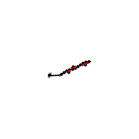 CCCC12CCCC(CCC)(CCC1)C21c2cc(-c3ccc(C)cc3)ccc2-c2ccc(-c3ccc(-c4ccc(-c5ccc6c(c5)C5(c7cc(-c8ccc9c(c8)C8(c%10cc(-c%11ccc(-c%12ccc(OCCCCCCCCCCN%13C(=O)C=CC%13=O)cc%12)cc%11)ccc%10-9)C9(C)CCC8(C)CC9)ccc7-6)C6(CC)CCC5(CC)CC6)cc4)cc3)cc21